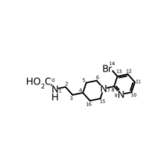 O=C(O)NCCC1CCN(c2ncccc2Br)CC1